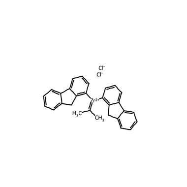 C[C](C)=[Zr+2]([c]1cccc2c1Cc1ccccc1-2)[c]1cccc2c1Cc1ccccc1-2.[Cl-].[Cl-]